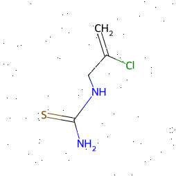 C=C(Cl)CNC(N)=S